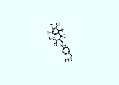 CCOC(=O)C(=CNc1ccc(CO)cc1)C(=O)c1cc(F)c(F)c(Cl)c1F